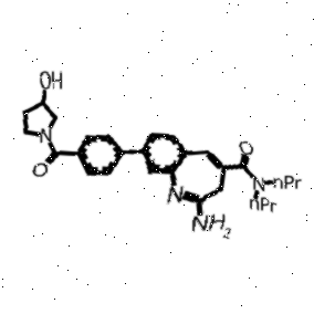 CCCN(CCC)C(=O)C1=Cc2ccc(-c3ccc(C(=O)N4CCC(O)C4)cc3)cc2N=C(N)C1